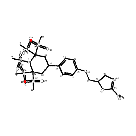 CS(=O)(=O)N1C(S(C)(=O)=O)(S(C)(=O)=O)CC(c2ccc(OCC3CN=C(N)O3)cc2)CC1(S(C)(=O)=O)S(C)(=O)=O